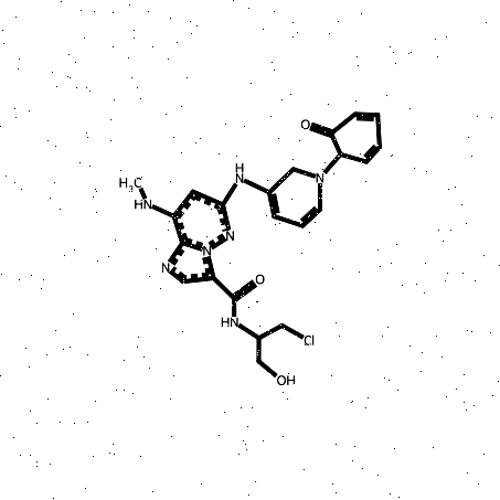 CNc1cc(NC2=CC=CN(C3C=CC=CC3=O)C2)nn2c(C(=O)NC(CO)CCl)cnc12